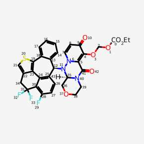 CCOC(=O)OCOc1c2n(ccc1=O)N([C@@H]1c3ccccc3-c3scc4c3-c3c1ccc(F)c3C(F)(F)C4)[C@@H]1COCCN1C2=O